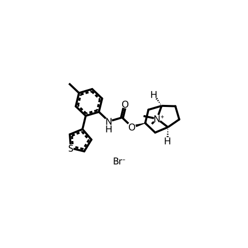 Cc1ccc(NC(=O)O[C@H]2C[C@H]3CC[C@@H](C2)[N+]3(C)C)c(-c2ccsc2)c1.[Br-]